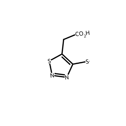 O=C(O)Cc1snnc1[S]